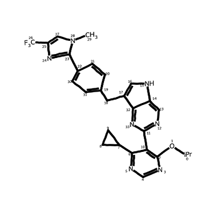 CC(C)Oc1ncnc(C2CC2)c1-c1ncc2[nH]cc(Cc3ccc(-c4nc(C(F)(F)F)cn4C)cc3)c2n1